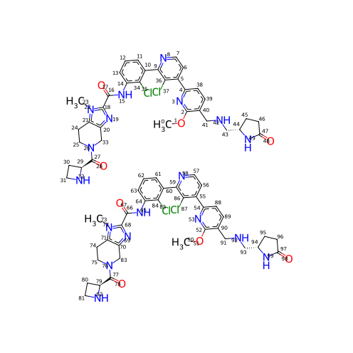 COc1nc(-c2ccnc(-c3cccc(NC(=O)c4nc5c(n4C)CCN(C(=O)[C@@H]4CCN4)C5)c3Cl)c2Cl)ccc1CNC[C@@H]1CCC(=O)N1.COc1nc(-c2ccnc(-c3cccc(NC(=O)c4nc5c(n4C)CCN(C(=O)[C@@H]4CCN4)C5)c3Cl)c2Cl)ccc1CNC[C@@H]1CCC(=O)N1